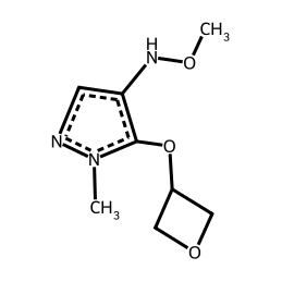 CONc1cnn(C)c1OC1COC1